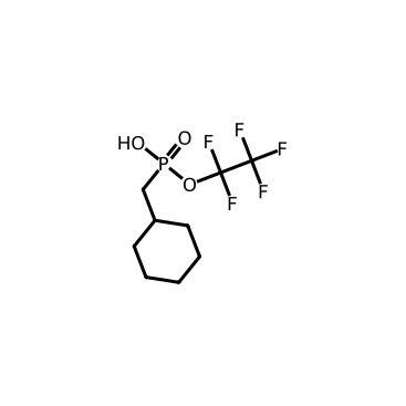 O=P(O)(CC1CCCCC1)OC(F)(F)C(F)(F)F